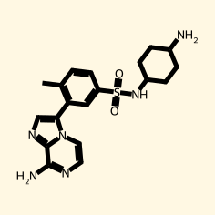 Cc1ccc(S(=O)(=O)NC2CCC(N)CC2)cc1-c1cnc2c(N)nccn12